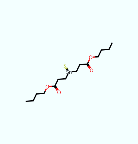 CCCCOC(=O)C[CH2][Sn](=[S])[CH2]CC(=O)OCCCC